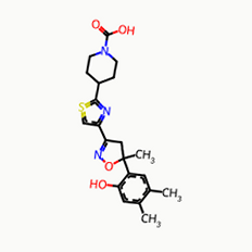 Cc1cc(O)c(C2(C)CC(c3csc(C4CCN(C(=O)O)CC4)n3)=NO2)cc1C